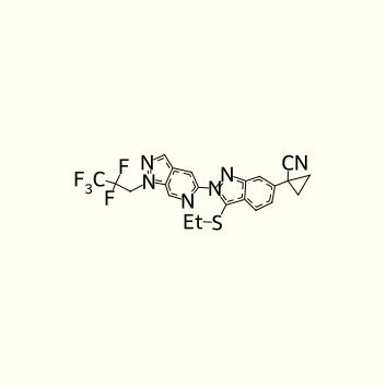 CCSc1c2ccc(C3(C#N)CC3)cc2nn1-c1cc2cnn(CC(F)(F)C(F)(F)F)c2cn1